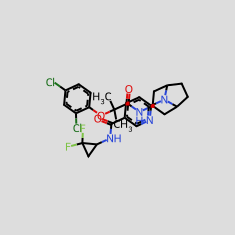 CC(C)(Oc1ccc(Cl)cc1Cl)C(=O)NC1CC2CCC(C1)N2c1ccc(C(=O)NC2CC2(F)F)cn1